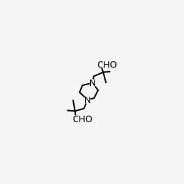 CC(C)(C=O)CN1CCN(CC(C)(C)C=O)CC1